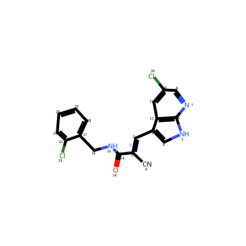 N#C/C(=C\c1c[nH]c2ncc(Cl)cc12)C(=O)NCc1ccccc1Cl